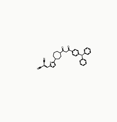 N#CC(C#N)=Cc1ccc(C2CCCC(C(=O)CC(=O)c3ccc(N(c4ccccc4)c4ccccc4)cc3)CC2)s1